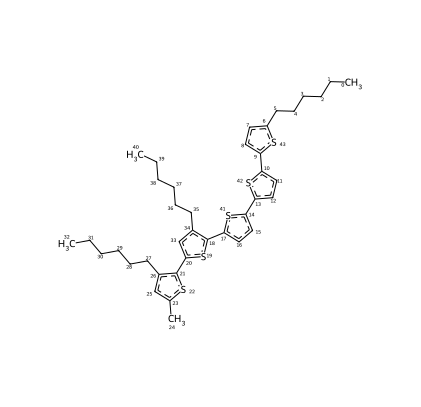 CCCCCCc1ccc(-c2ccc(-c3ccc(-c4sc(-c5sc(C)cc5CCCCCC)cc4CCCCCC)s3)s2)s1